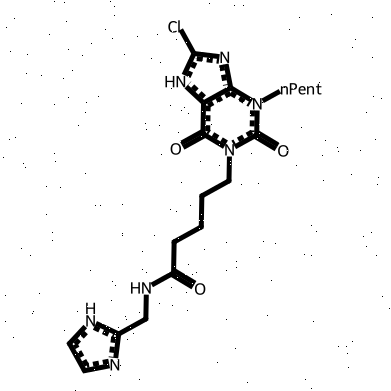 CCCCCn1c(=O)n(CCCCC(=O)NCc2ncc[nH]2)c(=O)c2[nH]c(Cl)nc21